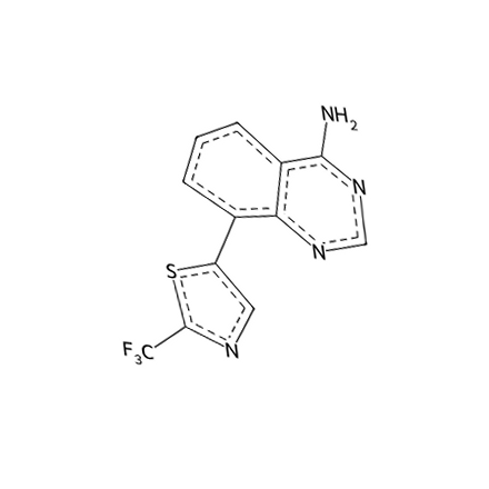 Nc1ncnc2c(-c3cnc(C(F)(F)F)s3)cccc12